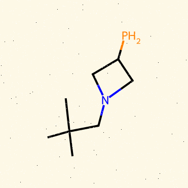 CC(C)(C)CN1CC(P)C1